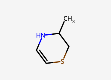 CC1CSC=CN1